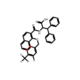 O=C(NC(C(=O)O)C(c1ccccc1)c1ccccc1)c1ccc2ccccc2c1OCc1ccc(C(F)(F)F)c(F)c1